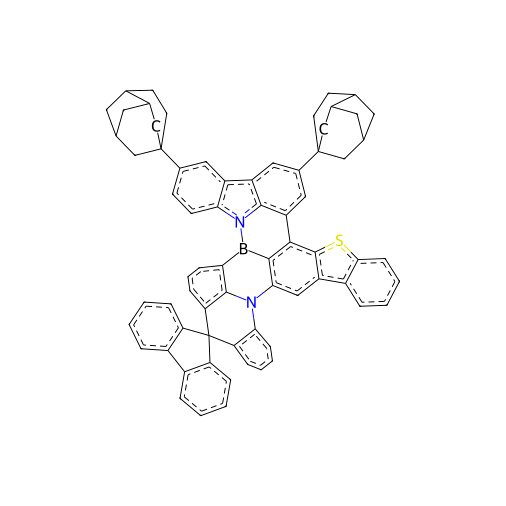 c1ccc2c(c1)-c1ccccc1C21c2ccccc2N2c3cc4c(sc5ccccc54)c4c3B(c3cccc1c32)n1c2ccc(C35CCC6CC(CC6C3)C5)cc2c2cc(C35CCC6CC(CC6C3)C5)cc-4c21